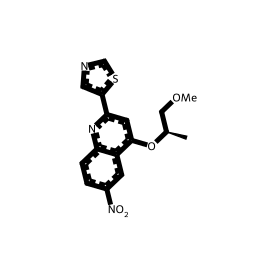 COC[C@@H](C)Oc1cc(-c2cncs2)nc2ccc([N+](=O)[O-])cc12